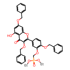 CCOP(=O)(COc1cc(-c2oc3cc(OCc4ccccc4)cc(O)c3c(=O)c2OCc2ccccc2)ccc1OCc1ccccc1)OCC